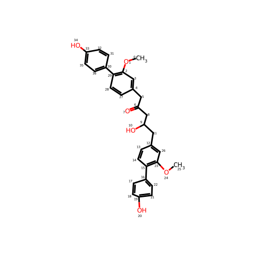 COc1cc(CC(=O)CC(O)Cc2ccc(-c3ccc(O)cc3)c(OC)c2)ccc1-c1ccc(O)cc1